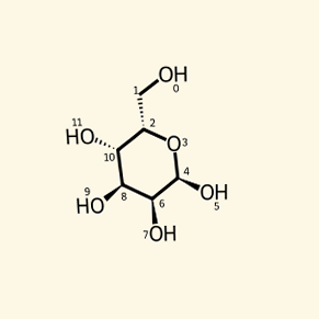 OC[C@@H]1O[C@@H](O)[C@@H](O)[C@@H](O)[C@@H]1O